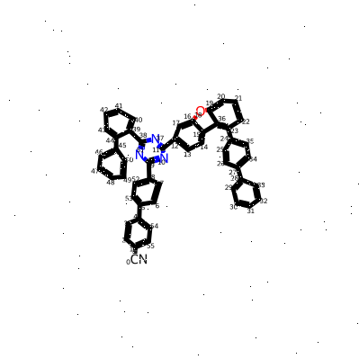 N#Cc1ccc(-c2ccc(-c3nc(-c4ccc5c(c4)oc4cccc(-c6ccc(-c7ccccc7)cc6)c45)nc(-c4ccccc4-c4ccccc4)n3)cc2)cc1